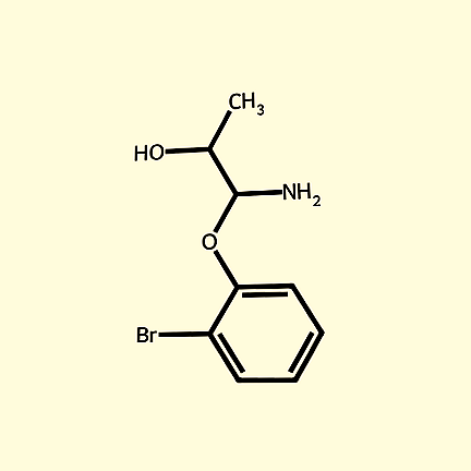 CC(O)C(N)Oc1ccccc1Br